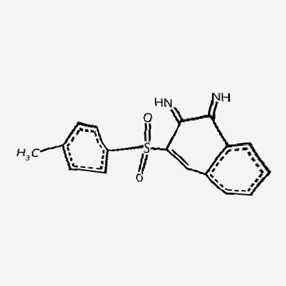 Cc1ccc(S(=O)(=O)C2=Cc3ccccc3C(=N)C2=N)cc1